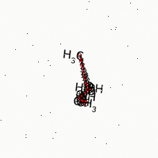 CCC=CCC=CCC=CCC=CCC=CCC=CCCC(=O)NC(CCCCNC(=O)C1=CC(=O)C(C)(c2ccccc2)O1)C(=O)O